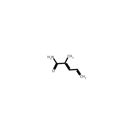 C=C/C=C(\C)C(N)=O